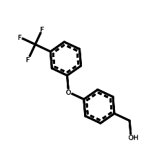 OCc1ccc(Oc2cccc(C(F)(F)F)c2)cc1